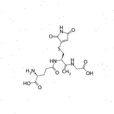 C=C(NCC(=O)O)[C@H](CSC1=CC(=O)NC1=O)NC(=O)CC[C@H](N)C(=O)O